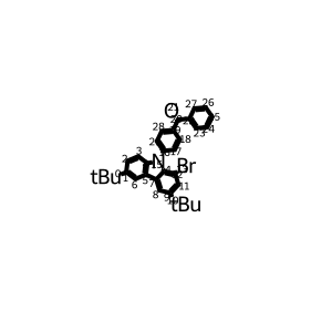 CC(C)(C)c1ccc2c(c1)c1cc(C(C)(C)C)cc(Br)c1n2-c1ccc(C(=O)c2ccccc2)cc1